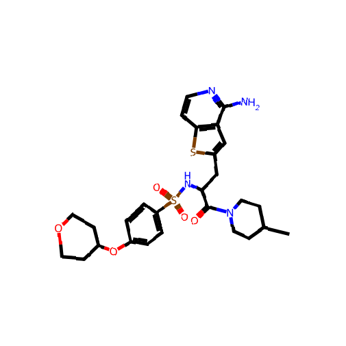 CC1CCN(C(=O)C(Cc2cc3c(N)nccc3s2)NS(=O)(=O)c2ccc(OC3CCOCC3)cc2)CC1